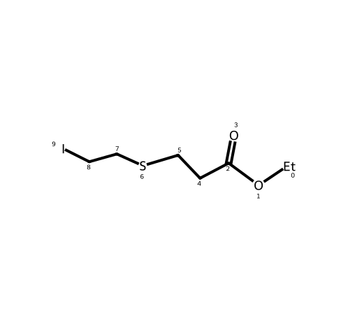 CCOC(=O)CCSCCI